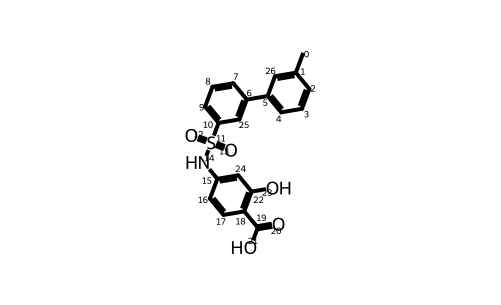 Cc1cccc(-c2cccc(S(=O)(=O)Nc3ccc(C(=O)O)c(O)c3)c2)c1